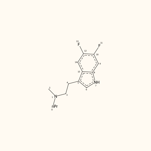 CCCN(C)CCc1c[nH]c2cc(F)c(F)cc12